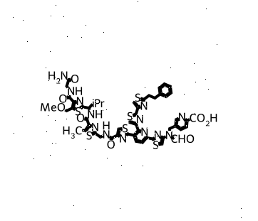 COCc1sc(C(NC(=O)c2nc(CNC(=O)c3csc(-c4ccc(-c5nc(N(C=O)Cc6ccc(C(=O)O)nc6)cs5)nc4-c4csc(-c5csc(CCc6ccccc6)n5)n4)n3)sc2C)C(C)C)nc1C(=O)NCC(N)=O